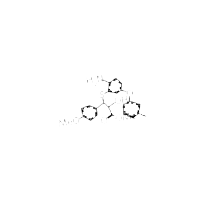 COC(=O)C(O)C(Sc1cc(Oc2cccc(C)c2)ccc1N)c1ccc(OC)cc1